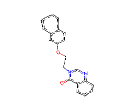 O=c1c2ccccc2ncn1CCOc1ccc2ccccc2c1